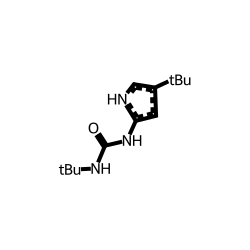 CC(C)(C)NC(=O)Nc1cc(C(C)(C)C)c[nH]1